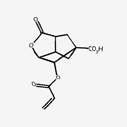 C=CC(=O)OC1C2OC(=O)C3CC1(C(=O)O)CC32